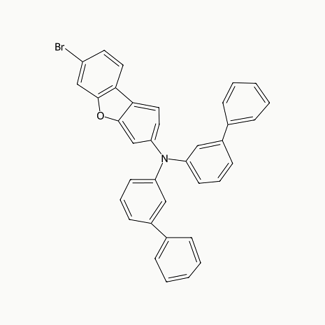 Brc1ccc2c(c1)oc1cc(N(c3cccc(-c4ccccc4)c3)c3cccc(-c4ccccc4)c3)ccc12